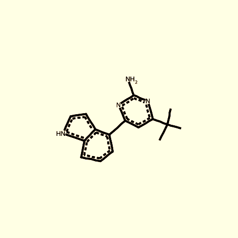 CC(C)(C)c1cc(-c2cccc3[nH]ccc23)nc(N)n1